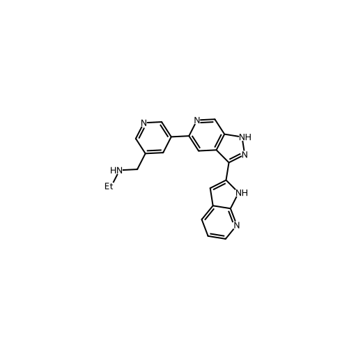 CCNCc1cncc(-c2cc3c(-c4cc5cccnc5[nH]4)n[nH]c3cn2)c1